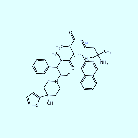 CN(C(=O)[C@@H](Cc1ccc2ccccc2c1)N(C)C(=O)/C=C/CC(C)(C)N)C(C(=O)N1CCC(O)(c2cccs2)CC1)c1ccccc1